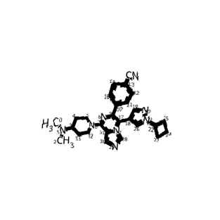 CN(C)C1CCN(c2nc(-c3ccc(C#N)cc3)c(-c3cnn(C4CCC4)c3)n3cncc23)CC1